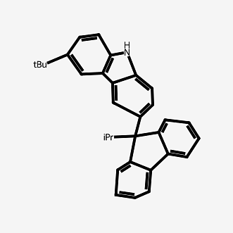 CC(C)C1(c2ccc3[nH]c4ccc(C(C)(C)C)cc4c3c2)c2ccccc2-c2ccccc21